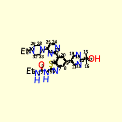 CCNC(=O)Nc1nc2cc(-c3cnc(C(C)(C)O)nc3)cc(-c3nccc(N4CCN(CC)CC4)n3)c2s1